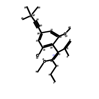 C=C(C)/C(=C(\CCC)OC)c1c(Cl)cc(C#C[Si](C)(C)C)cc1OC